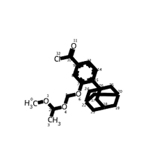 COC(C)OCOc1cc(C(=O)Cl)ccc1C12CC3CC(CC(C3)C1)C2